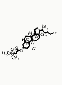 CC(C)CCC[C@@H](C)[C@H]1CC[C@H]2[C@@H]3CC=C4C[C@@H](OC(=O)C[N+](C)(C)C)CC[C@]4(C)[C@H]3CC[C@]12C.[Cl-]